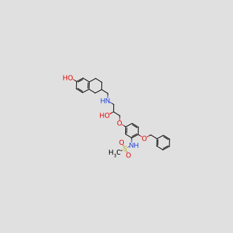 CS(=O)(=O)Nc1cc(OC[C@@H](O)CNCC2CCc3cc(O)ccc3C2)ccc1OCc1ccccc1